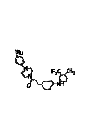 Cc1ccc(NC2CCC(CCC(=O)N3CCN(c4ccc(C(C)(C)C)cc4)CC3)CC2)cc1C(F)(F)F